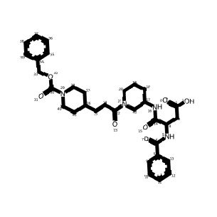 O=C(O)CC(NC(=O)c1ccccc1)C(=O)NC1CCCN(C(=O)CCC2CCN(C(=O)OCc3ccccc3)CC2)C1